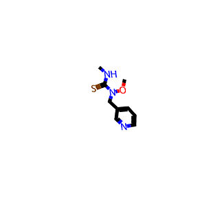 CNC(=S)N(Cc1cccnc1)OC